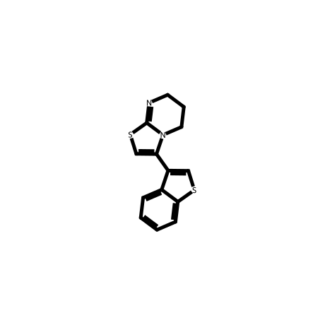 C1=C(c2csc3ccccc23)N2CCCN=C2S1